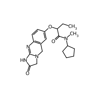 CCC(Oc1ccc2c(c1)CN1CC(=O)NC1=N2)C(=O)N(C)C1CCCC1